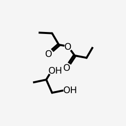 CC(O)CO.CCC(=O)OC(=O)CC